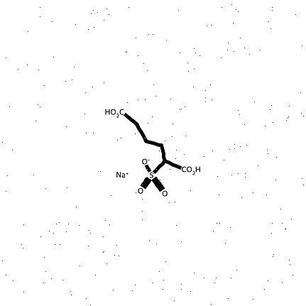 O=C(O)CCCC(C(=O)O)S(=O)(=O)[O-].[Na+]